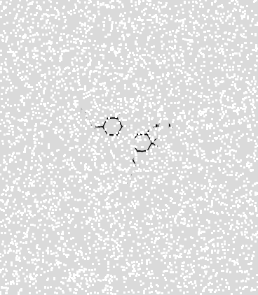 C[C@H]1CC(N=[N+]=[N-])[C@H](O)[C@@H](O)[C@@H]1O[C@H]1O[C@H](CN=[N+]=[N-])[C@@H](O)C(F)(F)C1N=[N+]=[N-]